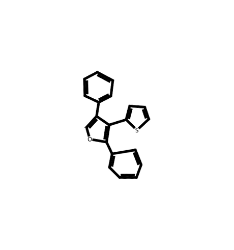 [c]1oc(-c2ccccc2)c(-c2cccs2)c1-c1ccccc1